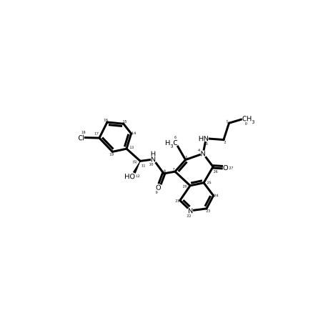 CCCNn1c(C)c(C(=O)N[C@@H](O)c2cccc(Cl)c2)c2cnccc2c1=O